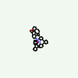 CC1(C)c2ccccc2-c2ccc(N(c3ccc4c(c3)C3(c5ccccc5C=Cc5ccccc53)c3ccccc3-4)c3cccc4c3N(c3ccccc3)c3ccccc3-c3ccccc3-4)cc21